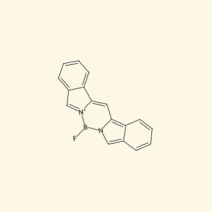 FB1n2cc3ccccc3c2C=C2c3ccccc3C=[N+]12